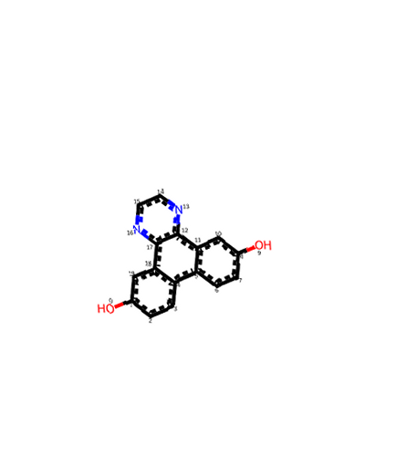 Oc1ccc2c3ccc(O)cc3c3nccnc3c2c1